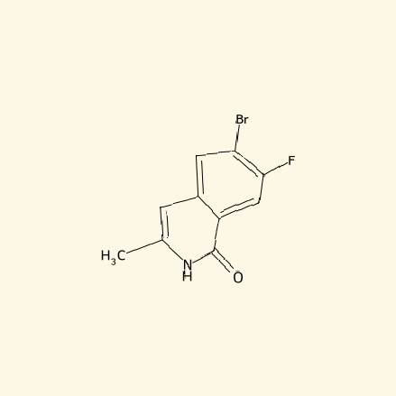 Cc1cc2cc(Br)c(F)cc2c(=O)[nH]1